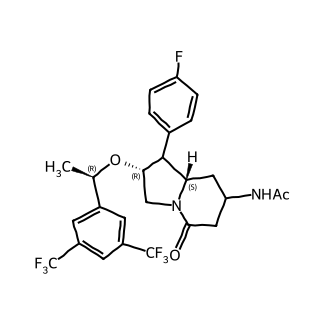 CC(=O)NC1CC(=O)N2C[C@H](O[C@H](C)c3cc(C(F)(F)F)cc(C(F)(F)F)c3)C(c3ccc(F)cc3)[C@@H]2C1